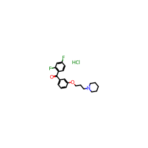 Cl.O=C(c1cccc(OCCCN2CCCCC2)c1)c1ccc(F)cc1F